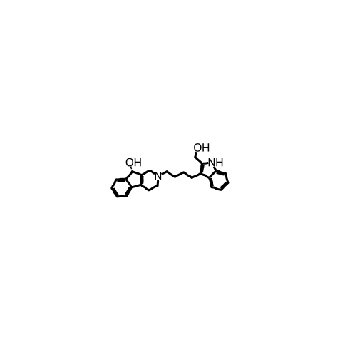 OCc1[nH]c2ccccc2c1CCCCN1CCC2=C(C1)[C@@H](O)c1ccccc12